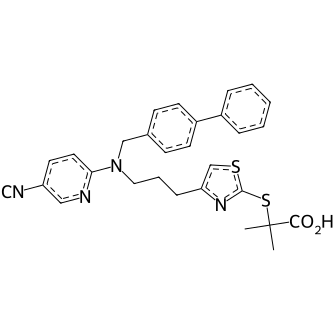 [C-]#[N+]c1ccc(N(CCCc2csc(SC(C)(C)C(=O)O)n2)Cc2ccc(-c3ccccc3)cc2)nc1